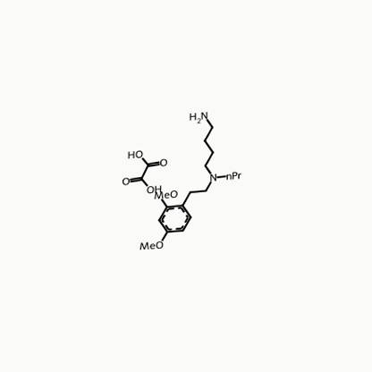 CCCN(CCCCN)CCc1ccc(OC)cc1OC.O=C(O)C(=O)O